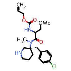 C=CCOC(=O)NC(COC)C(=O)N(C)[C@@]1(Cc2ccc(Cl)cc2)CCCNC1